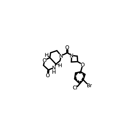 O=C1CO[C@H]2CCN(C(=O)N3CC(Oc4ccc(Cl)c(Br)c4)C3)C[C@H]2N1